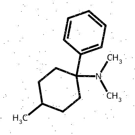 CC1CCC(c2ccccc2)(N(C)C)CC1